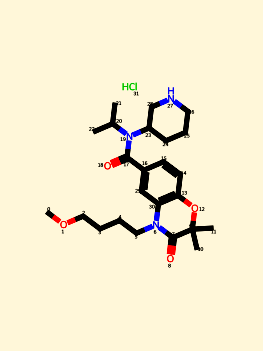 COCCCCN1C(=O)C(C)(C)Oc2ccc(C(=O)N(C(C)C)C3CCCNC3)cc21.Cl